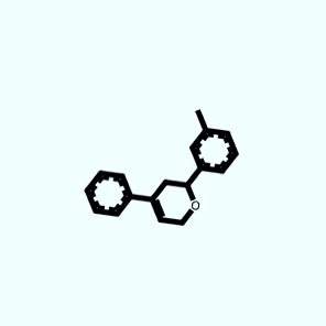 Cc1cccc(C2CC(c3ccccc3)=CCO2)c1